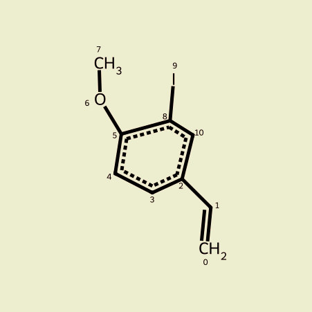 C=Cc1ccc(OC)c(I)c1